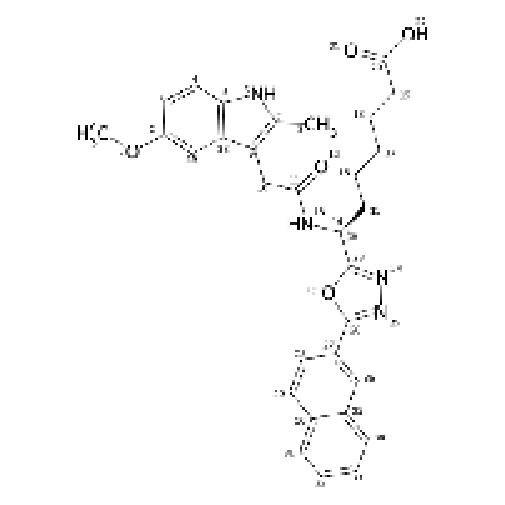 COc1ccc2[nH]c(C)c(CC(=O)N[C@@H](CCCCCC(=O)O)c3nnc(-c4ccc5ccccc5c4)o3)c2c1